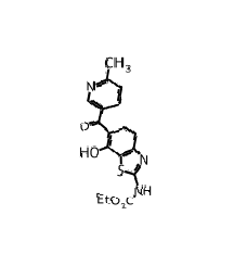 CCOC(=O)Nc1nc2c(s1)C(O)=C(C(=O)c1ccc(C)nc1)CC2